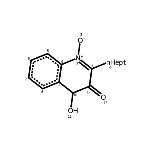 CCCCCCCC1=[N+]([O-])c2ccccc2C(O)C1=O